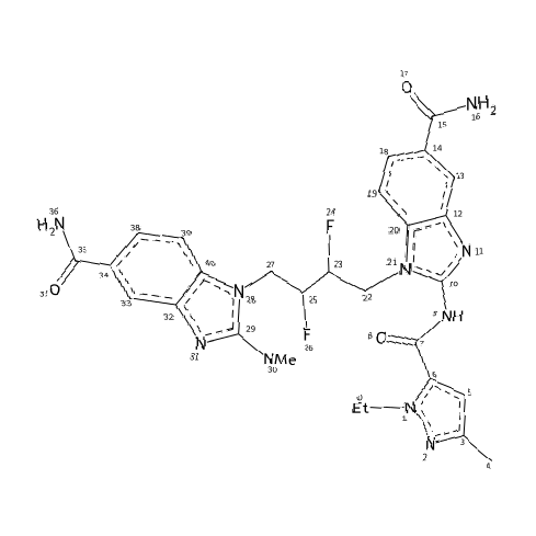 CCn1nc(C)cc1C(=O)Nc1nc2cc(C(N)=O)ccc2n1CC(F)C(F)Cn1c(NC)nc2cc(C(N)=O)ccc21